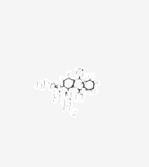 CCCNc1ccc2c(c1N)C(=O)c1ccccc1C2=O